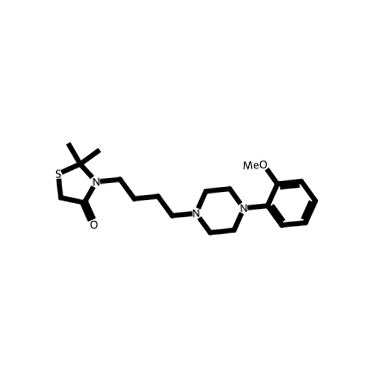 COc1ccccc1N1CCN(CCCCN2C(=O)CSC2(C)C)CC1